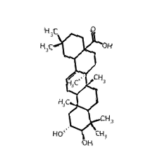 CC1(C)CCC2(C(=O)O)CC[C@]3(C)C(=CCC4[C@@]5(C)C[C@@H](O)[C@H](O)C(C)(C)C5CC[C@]43C)C2C1